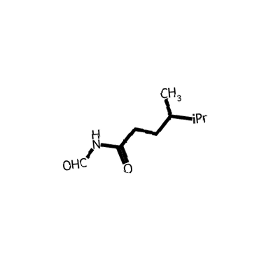 CC(C)C(C)CCC(=O)NC=O